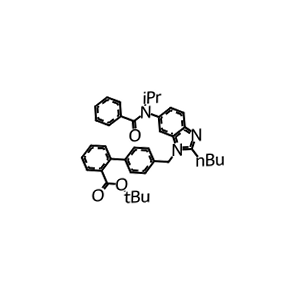 CCCCc1nc2ccc(N(C(=O)c3ccccc3)C(C)C)cc2n1Cc1ccc(-c2ccccc2C(=O)OC(C)(C)C)cc1